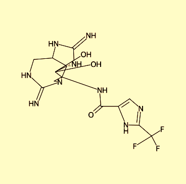 N=C1NC2CNC(=N)N3CC(NC(=O)c4cnc(C(F)(F)F)[nH]4)C(O)(O)[C@@]23N1